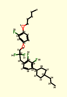 CCCCCOc1ccc(OCC(F)(F)Cc2ccc(C3CCC(CCC)CC3)c(F)c2F)cc1F